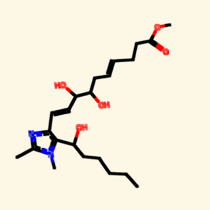 CCCCCC(O)c1c(C=CC(O)C(O)CC=CCCC(=O)OC)nc(C)n1C